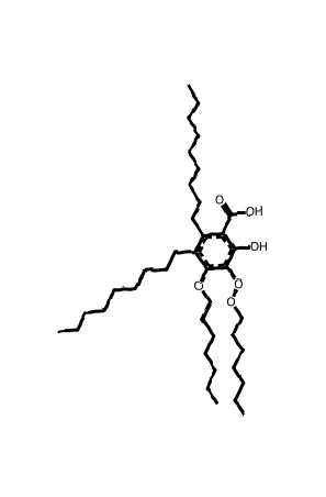 CCCCCCCCCc1c(CCCCCCCCC)c(C(=O)O)c(O)c(OOCCCCCCC)c1OCCCCCCC